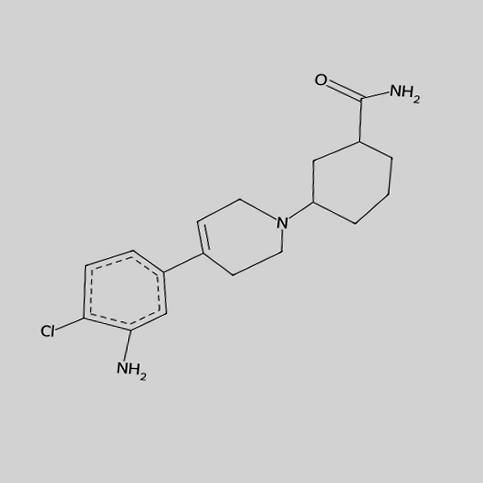 NC(=O)C1CCCC(N2CC=C(c3ccc(Cl)c(N)c3)CC2)C1